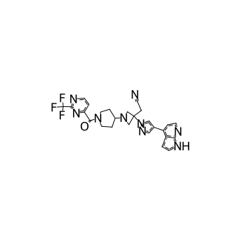 N#CCC1(n2cc(-c3ccnc4[nH]ccc34)cn2)CN(C2CCN(C(=O)c3ccnc(C(F)(F)F)n3)CC2)C1